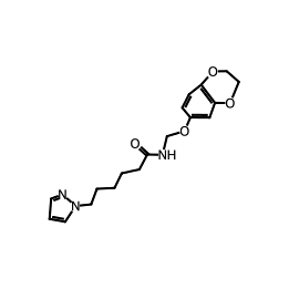 O=C(CCCCCn1cccn1)NCOc1ccc2c(c1)OCCO2